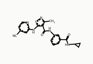 Cc1nsc(Nc2cc(C#N)ccn2)c1C(=O)Nc1cccc(C(=O)NC2CC2)c1